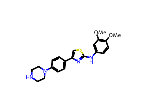 COc1ccc(Nc2nc(-c3ccc(N4CCNCC4)cc3)cs2)cc1OC